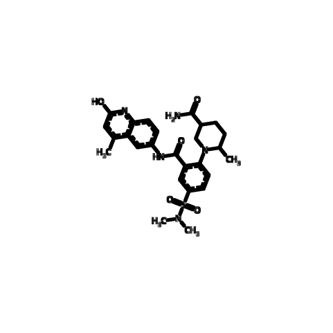 Cc1cc(O)nc2ccc(NC(=O)c3cc(S(=O)(=O)N(C)C)ccc3N3CC(C(N)=O)CCC3C)cc12